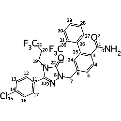 NC(=O)c1ccc(Cn2nc(-c3ccc(Cl)cc3)n(CCC(F)(F)F)c2=O)cc1-c1ccccc1C(F)(F)F